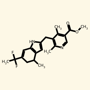 COC(=O)c1cnc(C)c(Cc2cc3c([nH]2)C=C(C(C)(F)F)CC3C)c1C